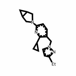 CCc1ccn(Cc2ccc(N3CC4CC4C3)nc2C2CC2)n1